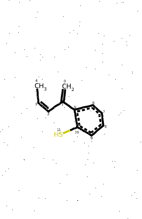 C=C(/C=C\C)c1ccccc1S